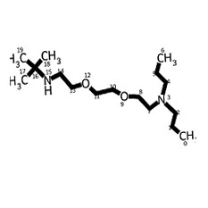 CCCN(CCC)CCOCCOCCNC(C)(C)C